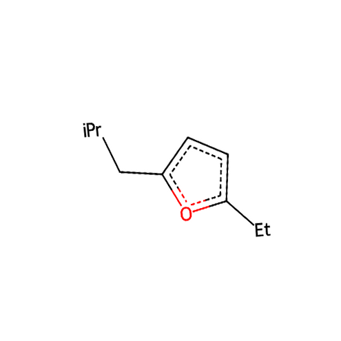 CCc1ccc(CC(C)C)o1